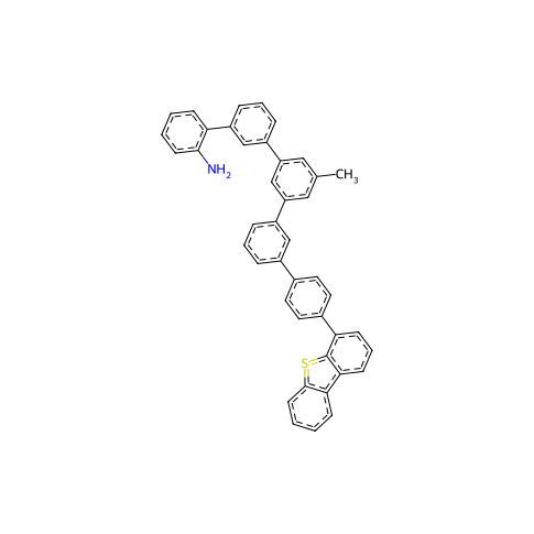 Cc1cc(-c2cccc(-c3ccc(-c4cccc5c4sc4ccccc45)cc3)c2)cc(-c2cccc(-c3ccccc3N)c2)c1